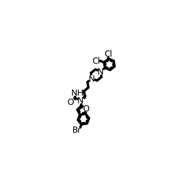 NC(=O)N(CCCCN1CCN(c2cccc(Cl)c2Cl)CC1)c1cc2cc(Br)ccc2o1